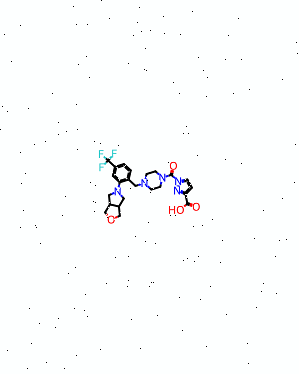 O=C(O)c1ccn(C(=O)N2CCN(Cc3ccc(C(F)(F)F)cc3N3CC4COCC4C3)CC2)n1